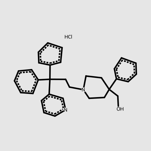 Cl.OCC1(c2ccccc2)CCN(CCC(c2ccccc2)(c2ccccc2)c2cccnc2)CC1